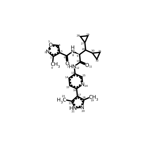 Cc1nocc1C(=O)N[C@H](C(=O)Nc1ccc(-c2c(C)n[nH]c2C)nc1)C(C1CC1)C1CC1